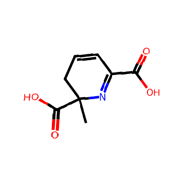 CC1(C(=O)O)CC=CC(C(=O)O)=N1